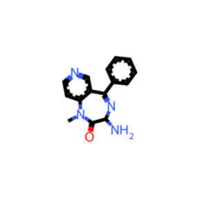 CN1C(=O)C(N)N=C(c2ccccc2)c2cnccc21